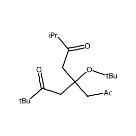 CC(=O)CC(CC(=O)C(C)C)(CC(=O)C(C)(C)C)OC(C)(C)C